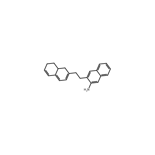 Nc1cc2ccccc2cc1CCC1=CC=C2C=CCCC2C1